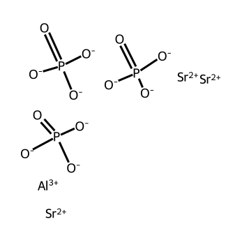 O=P([O-])([O-])[O-].O=P([O-])([O-])[O-].O=P([O-])([O-])[O-].[Al+3].[Sr+2].[Sr+2].[Sr+2]